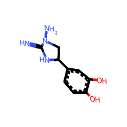 N=C1NC(c2ccc(O)c(O)c2)CN1N